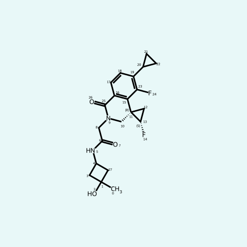 CC1(O)CC(NC(=O)CN2C[C@@]3(C[C@@H]3F)c3c(ccc(C4CC4)c3F)C2=O)C1